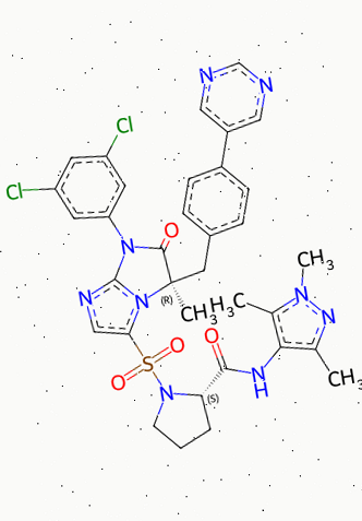 Cc1nn(C)c(C)c1NC(=O)[C@@H]1CCCN1S(=O)(=O)c1cnc2n1[C@](C)(Cc1ccc(-c3cncnc3)cc1)C(=O)N2c1cc(Cl)cc(Cl)c1